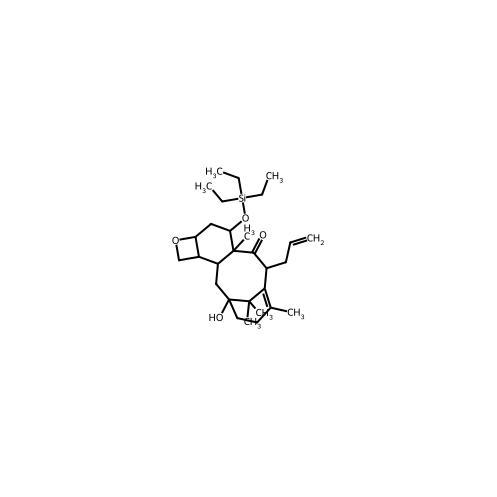 C=CCC1C(=O)C2(C)C(O[Si](CC)(CC)CC)CC3OCC3C2CC2(O)CCC(C)=C1C2(C)C